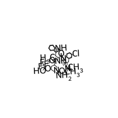 CC(c1c[nH]c2ccccc12)C(NC(=O)C1CCCN(C(N)=O)C1)C(=O)N1C[C@@H](CN(C)C)Cc2cc(Cl)ccc21.O=C(O)C(F)(F)F